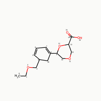 CCOCC1C=CC=C(C2COCC(C(=O)O)O2)C1